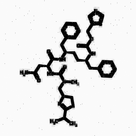 CC(C)C1=NC(CN(C)C(=O)N[C@@H](CC(N)=O)C(=O)N[C@H](CC[C@H](Cc2ccccc2)NC(=O)OCc2cncs2)Cc2ccccc2)CS1